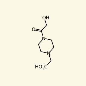 O=C(O)CN1CCN(C(=O)CO)CC1